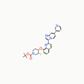 CC(C)(C)OC(=O)N1CCC(Oc2cccc3ccc(-c4cnc5cc(-c6cccnc6)ccn45)nc23)C(F)C1